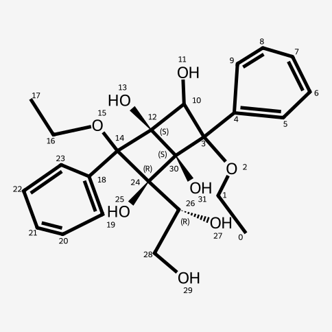 CCOC1(c2ccccc2)C(O)[C@@]2(O)C(OCC)(c3ccccc3)[C@@](O)([C@H](O)CO)[C@@]12O